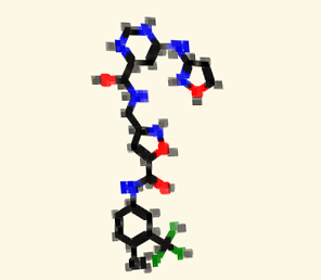 Cc1ccc(NC(=O)c2cc(CNC(=O)c3cc(Nc4ccon4)ncn3)no2)cc1C(F)(F)F